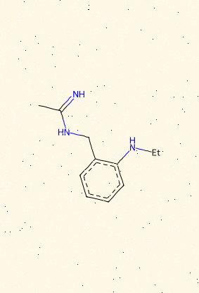 CCNc1ccccc1CNC(C)=N